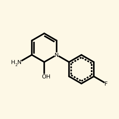 NC1=CC=CN(c2ccc(F)cc2)C1O